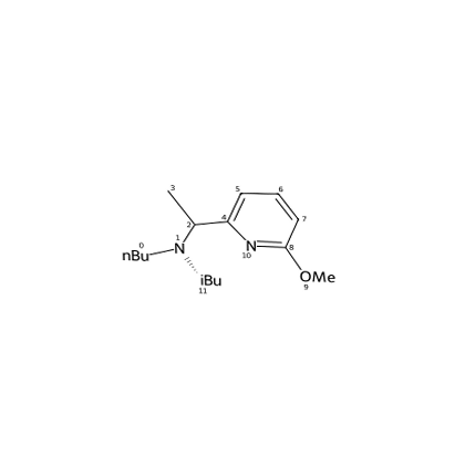 CCCCN(C(C)c1cccc(OC)n1)[C@@H](C)CC